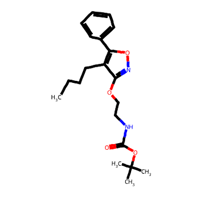 CCCCc1c(OCCNC(=O)OC(C)(C)C)noc1-c1ccccc1